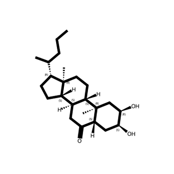 CCCC(C)[C@H]1CC[C@H]2[C@@H]3CC(=O)[C@H]4C[C@H](O)[C@H](O)C[C@]4(C)[C@H]3CC[C@]12C